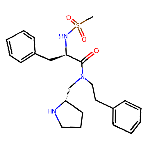 CS(=O)(=O)N[C@H](Cc1ccccc1)C(=O)N(CCc1ccccc1)C[C@@H]1CCCN1